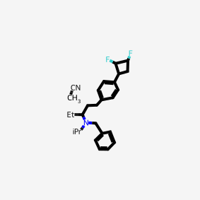 CC#N.CCC(CCc1ccc(C2CC(F)C2F)cc1)N(Cc1ccccc1)C(C)C